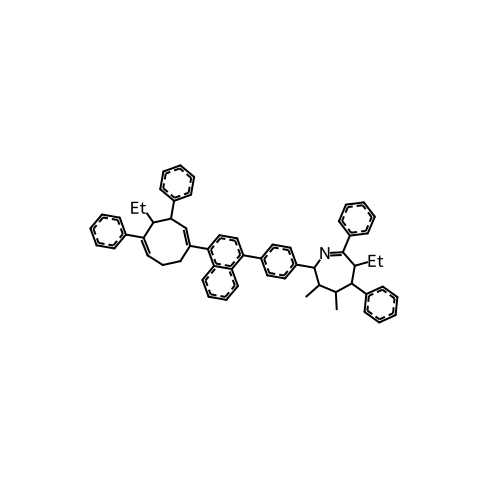 CCC1C(c2ccccc2)=NC(c2ccc(-c3ccc(/C4=C/C(c5ccccc5)C(CC)/C(c5ccccc5)=C\CC4)c4ccccc34)cc2)C(C)C(C)C1c1ccccc1